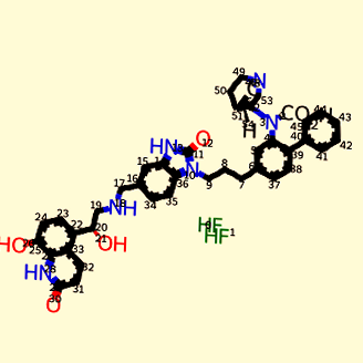 F.F.O=C(O)N(c1cc(CCCn2c(=O)[nH]c3cc(CNC[C@@H](O)c4ccc(O)c5[nH]c(=O)ccc45)ccc32)ccc1-c1ccccc1)[C@H]1CN2CCC1CC2